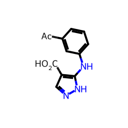 CC(=O)c1cccc(Nc2[nH]ncc2C(=O)O)c1